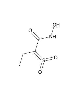 CCC(C(=O)NO)=S(=O)=O